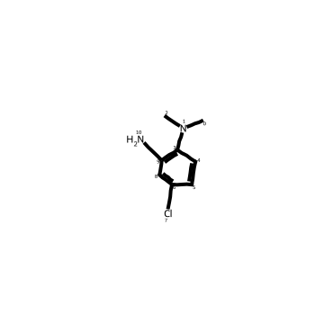 CN(C)c1ccc(Cl)cc1N